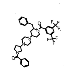 O=C(c1ccccc1)N1CCC(N2CCN(C3CCN(C(=O)c4cc(C(F)(F)F)cc(C(F)(F)F)c4)C(Cc4ccccc4)C3)CC2)C1